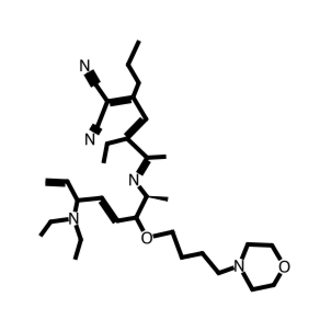 C=CC(/C=C/C(OCCCCN1CCOCC1)[C@H](C)/N=C(C)/C(=C/C(CCC)=C(C#N)C#N)CC)N(CC)CC